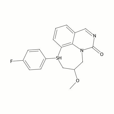 COC1Cn2c(=O)ncc3cccc(c32)[SH](c2ccc(F)cc2)C1